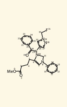 COC(=O)CCCC1=CN(c2ccccc2)CN1N(C(=O)c1ccccc1)c1cnn(CF)c1